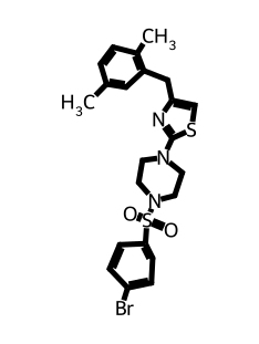 Cc1ccc(C)c(Cc2csc(N3CCN(S(=O)(=O)c4ccc(Br)cc4)CC3)n2)c1